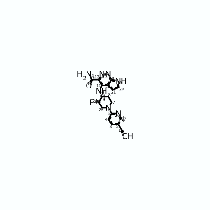 C#Cc1ccc(N2CC[C@@H](Nc3c(C(N)=O)nnc4[nH]ccc34)[C@@H](F)C2)nn1